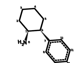 N[C@@H]1CCCC[C@@H]1c1ccccc1